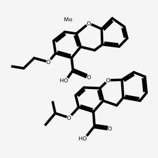 CC(C)Oc1ccc2c(c1C(=O)O)Cc1ccccc1O2.CCCOc1ccc2c(c1C(=O)O)Cc1ccccc1O2.[Mo]